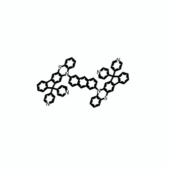 c1ccc2c(c1)Sc1cc3c(cc1N2c1ccc2cc4cc(N5c6ccccc6Sc6cc7c(cc65)C(c5ccncc5)(c5ccncc5)c5ccccc5-7)ccc4cc2c1)C(c1ccncc1)(c1ccncc1)c1ccccc1-3